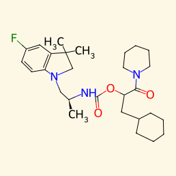 C[C@@H](CN1CC(C)(C)c2cc(F)ccc21)NC(=O)OC(CC1CCCCC1)C(=O)N1CCCCC1